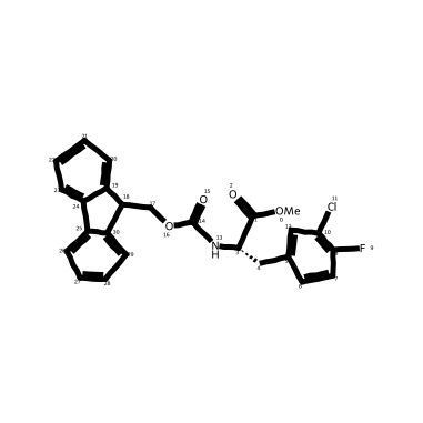 COC(=O)[C@H](Cc1ccc(F)c(Cl)c1)NC(=O)OCC1c2ccccc2-c2ccccc21